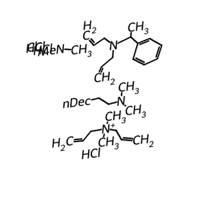 C=CCN(CC=C)C(C)c1ccccc1.C=CC[N+](C)(C)CC=C.CCCCCCCCCCCCN(C)C.CNC.Cl.Cl.Cl.[Cl-]